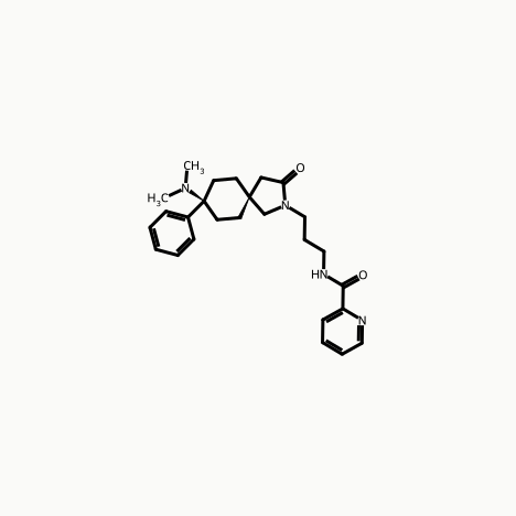 CN(C)[C@]1(c2ccccc2)CC[C@@]2(CC1)CC(=O)N(CCCNC(=O)c1ccccn1)C2